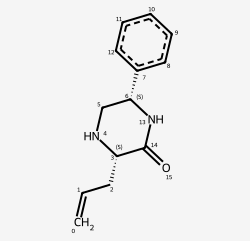 C=CC[C@@H]1NC[C@H](c2ccccc2)NC1=O